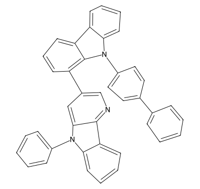 c1ccc(-c2ccc(-n3c4ccccc4c4cccc(-c5cnc6c7ccccc7n(-c7ccccc7)c6c5)c43)cc2)cc1